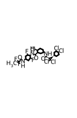 CC(F)(F)C(=O)Nc1cc(F)c(NC(=O)c2cc(NC(=O)[C@H]3[C@H](c4ccc(Cl)c(Cl)c4)C3(Cl)Cl)ccc2Cl)c(F)c1